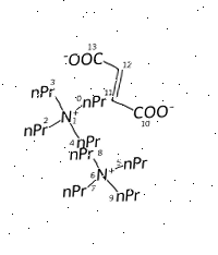 CCC[N+](CCC)(CCC)CCC.CCC[N+](CCC)(CCC)CCC.O=C([O-])C=CC(=O)[O-]